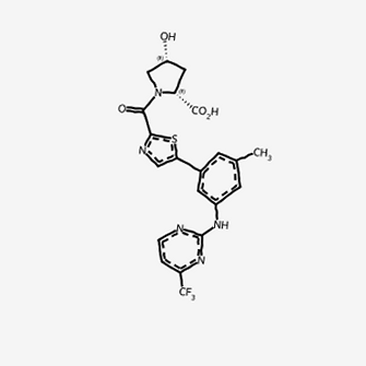 Cc1cc(Nc2nccc(C(F)(F)F)n2)cc(-c2cnc(C(=O)N3C[C@H](O)C[C@@H]3C(=O)O)s2)c1